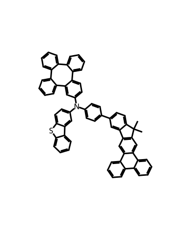 CC1(C)c2ccc(-c3ccc(N(c4ccc5c(c4)-c4ccccc4-c4ccccc4-c4ccccc4-5)c4ccc5sc6ccccc6c5c4)cc3)cc2-c2cc3c4ccccc4c4ccccc4c3cc21